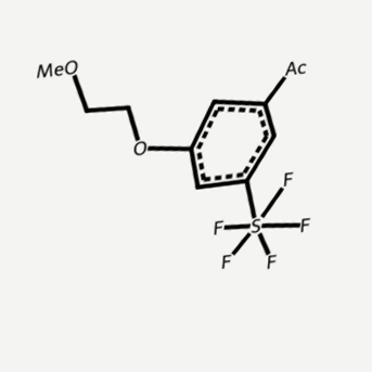 COCCOc1cc(C(C)=O)cc(S(F)(F)(F)(F)F)c1